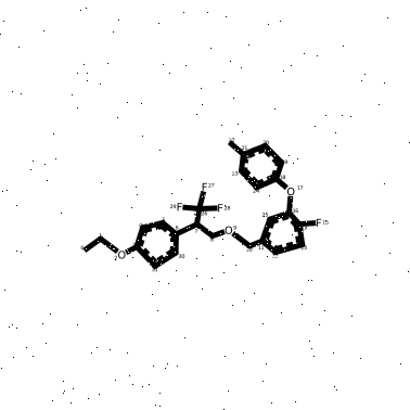 CCOc1ccc(C(COCc2ccc(F)c(Oc3ccc(C)cc3)c2)C(F)(F)F)cc1